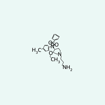 CCOc1cc(C)ccc1N(C1CCN(CCCCN)CC1)S(=O)(=O)c1ccccc1